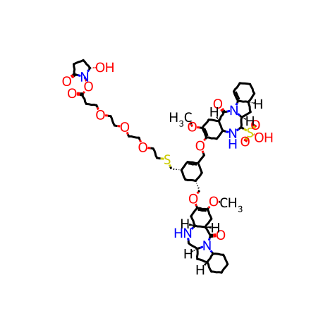 COC1=C(OCC2=C[C@@H](CSCCOCCOCCOCCC(=O)ON3C(=O)CC[C@@H]3O)C[C@@H](COC3=C(OC)C[C@@H]4C(=O)N5C6CCCC[C@@H]6C[C@H]5CN[C@@H]4C3)C2)CC2NC(S(=O)(=O)O)[C@@H]3C[C@@H]4CCCC=C4N3C(=O)[C@@H]2C1